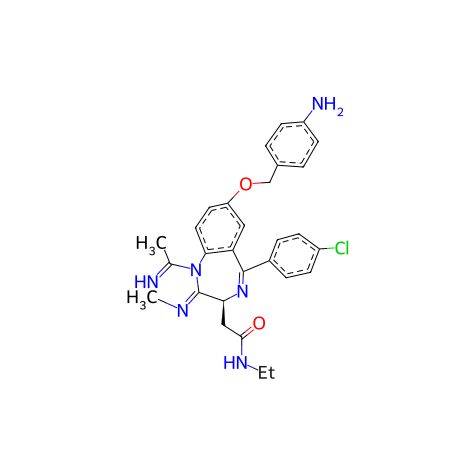 CCNC(=O)C[C@@H]1N=C(c2ccc(Cl)cc2)c2cc(OCc3ccc(N)cc3)ccc2N(C(C)=N)/C1=N\C